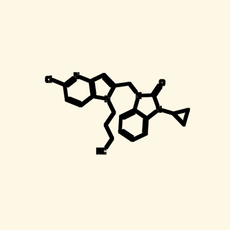 N#CCCCn1c(Cn2c(=O)n(C3CC3)c3ccccc32)cc2nc(Cl)ccc21